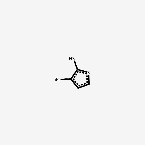 CC(C)c1ccsc1S